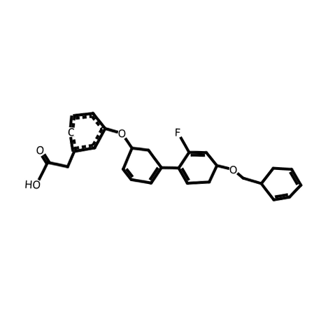 O=C(O)Cc1cccc(OC2C=CC=C(C3=CCC(OCC4C=CC=CC4)C=C3F)C2)c1